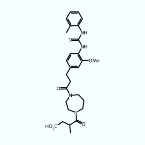 COc1cc(CCC(=O)N2CCCN(C(=O)C(C)CC(=O)O)CC2)ccc1NC(=O)Nc1ccccc1C